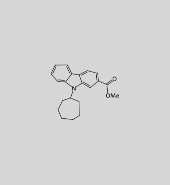 COC(=O)c1ccc2c3ccccc3n(C3CCCCCC3)c2c1